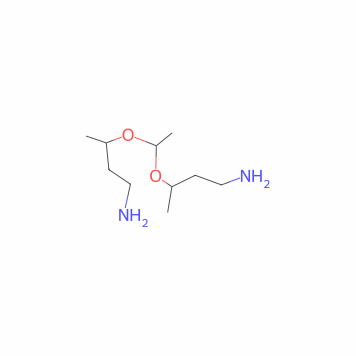 CC(CCN)OC(C)OC(C)CCN